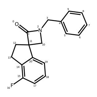 O=C1N(Cc2ccccc2)CC12CCc1c(F)cccc12